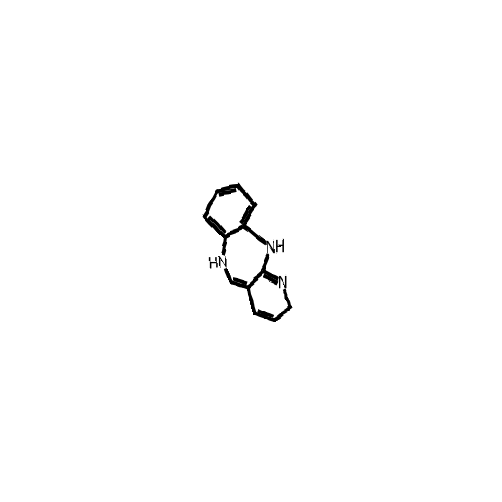 C1=CC2=CNc3ccccc3NC2=NC1